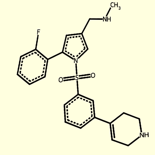 CNCc1cc(-c2ccccc2F)n(S(=O)(=O)c2cccc(C3=CCNCC3)c2)c1